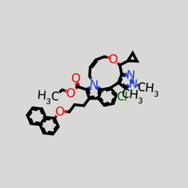 CCOC(=O)c1c(CCCOc2cccc3ccccc23)c2ccc(Cl)c3c2n1C/C=C\COC(C1CC1)c1nn(C)c(C)c1-3